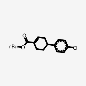 CCCCOC(=O)C1=CCC(c2ccc(Cl)cc2)CC1